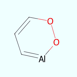 C1=CO[O][Al]=[CH]1